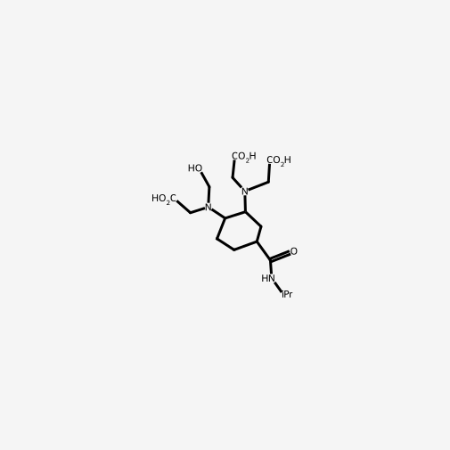 CC(C)NC(=O)C1CCC(N(CO)CC(=O)O)C(N(CC(=O)O)CC(=O)O)C1